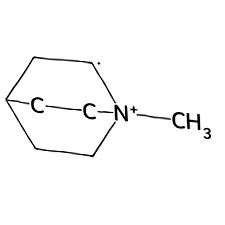 C[N+]12[CH]CC(CC1)CC2